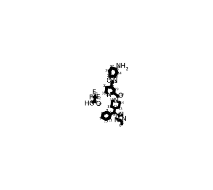 Cc1nnn(C(c2ccccc2)C2CCN(C(=O)c3cc(-c4nc5cc(N)ccc5o4)ccn3)CC2)n1.O=C(O)C(F)(F)F